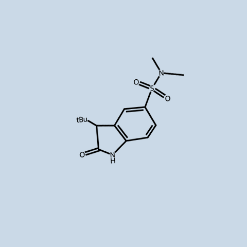 CN(C)S(=O)(=O)c1ccc2c(c1)C(C(C)(C)C)C(=O)N2